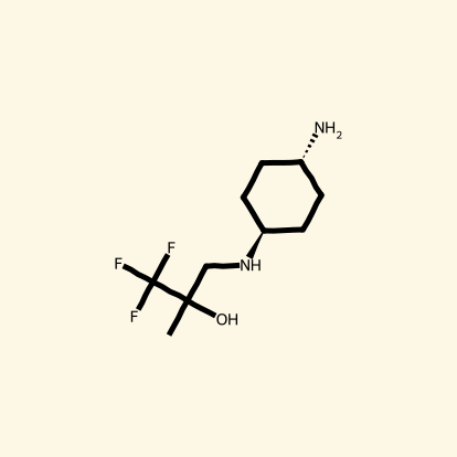 CC(O)(CN[C@H]1CC[C@H](N)CC1)C(F)(F)F